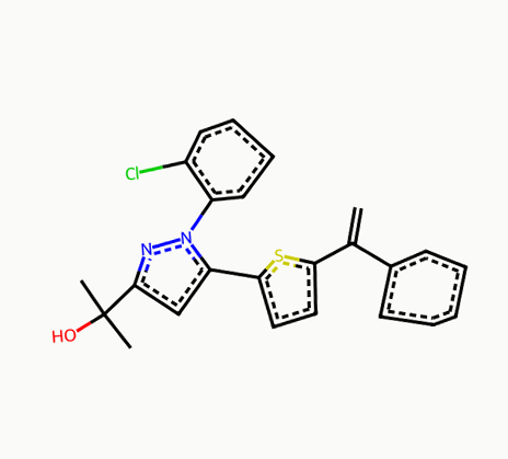 C=C(c1ccccc1)c1ccc(-c2cc(C(C)(C)O)nn2-c2ccccc2Cl)s1